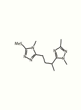 CSc1nnc(CCC(C)c2nc(C)nn2C)n1C